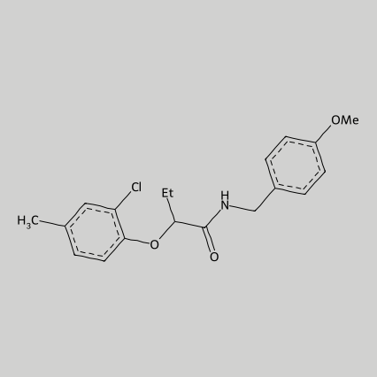 CCC(Oc1ccc(C)cc1Cl)C(=O)NCc1ccc(OC)cc1